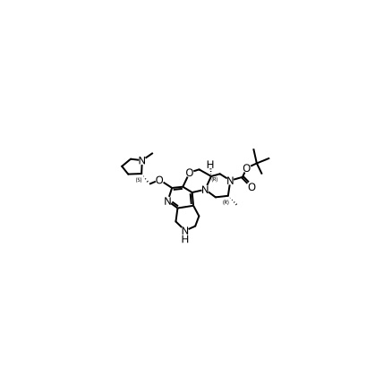 C[C@@H]1CN2c3c4c(nc(OC[C@@H]5CCCN5C)c3OC[C@H]2CN1C(=O)OC(C)(C)C)CNCC4